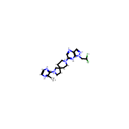 FC(F)Cn1ncc2ncc(N3CCC4(CC3)CCN(c3nccnc3C(F)(F)F)C4)nc21